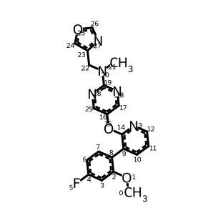 COc1cc(F)ccc1-c1cccnc1Oc1cnc(N(C)Cc2cocn2)nc1